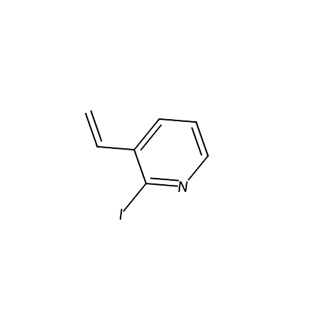 C=Cc1cccnc1I